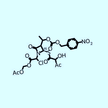 CC(=O)OCOC(=O)C(Cl)N1C(=O)C(C(C)OC(=O)OCc2ccc([N+](=O)[O-])cc2)[C@H]1SC(=O)C(O)C(C)=O